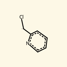 Cl[CH]c1ccccn1